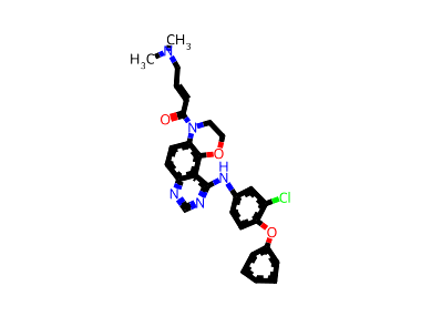 CN(C)C/C=C/C(=O)N1CCOc2c1ccc1ncnc(Nc3ccc(Oc4ccccc4)c(Cl)c3)c21